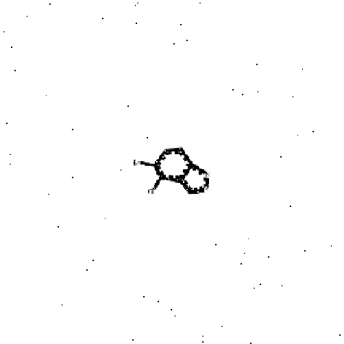 Clc1c(Br)ccc2nscc12